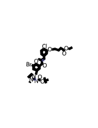 CCOC(=O)CCCCOc1cc(/C=C2\COc3c(Br)cc(Cn4ccn(C)/c4=N/C(=O)OC(C)(C)C)cc3C2=O)ccc1Cl